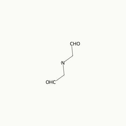 O=CC[N]CC=O